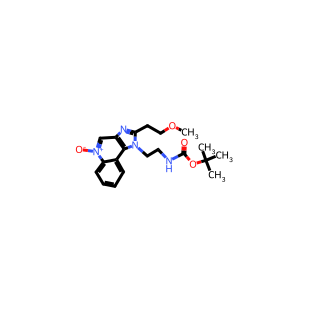 COCCc1nc2c[n+]([O-])c3ccccc3c2n1CCNC(=O)OC(C)(C)C